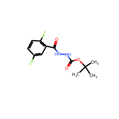 CC(C)(C)OC(=O)NNC(=O)c1cc(F)ccc1F